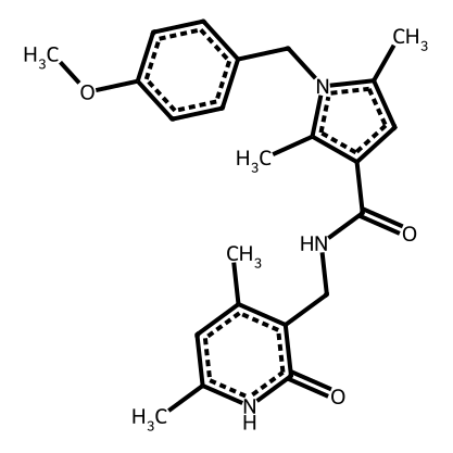 COc1ccc(Cn2c(C)cc(C(=O)NCc3c(C)cc(C)[nH]c3=O)c2C)cc1